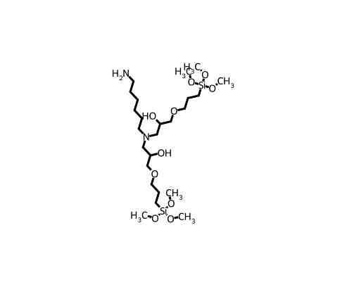 CO[Si](CCCOCC(O)CN(CCCCCCN)CC(O)COCCC[Si](OC)(OC)OC)(OC)OC